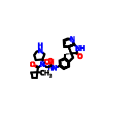 CC1(C(=O)N(CC(=O)Nc2ccc3c(c2)C[C@@]2(C3)C(=O)Nc3ncccc32)[C@]2(O)CCCNC2)CCC1